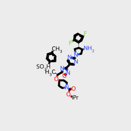 CC(C)OC(=O)N1CCC(O[C@H](C)c2nc(-c3cnc(N4C[C@H](c5cc(F)ccc5F)[C@@H](N)C4)nc3)no2)CC1.Cc1ccc(S(=O)(=O)O)cc1